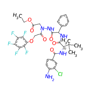 CCOC(=O)CN(NC(=O)C(NC(=O)[C@@H](NC(=O)c1ccc(N)c(Cl)c1)C(C)(C)C)c1ccccc1)C(=O)COc1c(F)c(F)c(F)c(F)c1F